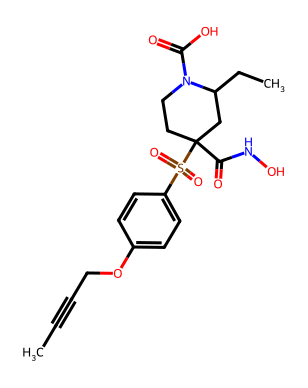 CC#CCOc1ccc(S(=O)(=O)C2(C(=O)NO)CCN(C(=O)O)C(CC)C2)cc1